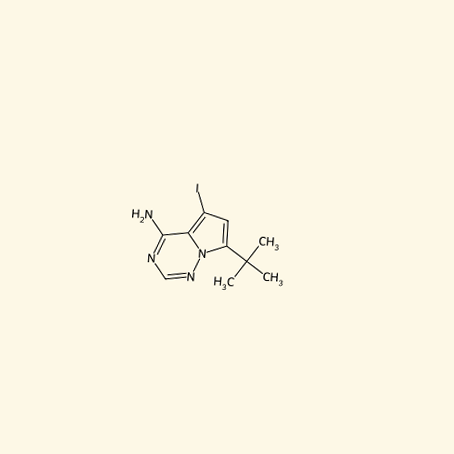 CC(C)(C)c1cc(I)c2c(N)ncnn12